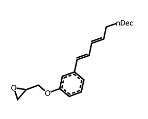 CCCCCCCCCCC/C=C/C=C/c1cccc(OCC2CO2)c1